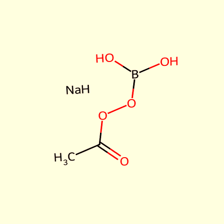 CC(=O)OOB(O)O.[NaH]